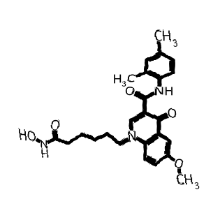 COc1ccc2c(c1)c(=O)c(C(=O)Nc1ccc(C)cc1C)cn2CCCCCC(=O)NO